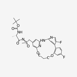 C[C@H](NC(=O)OC(C)(C)C)C(=O)N=S(C)(=O)Cc1cc2nc(c1)OCCCOc1cc(F)ccc1-c1cc(ncc1F)N2